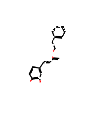 C=C(/C=C/c1ccc(O)c(O)c1)OCCc1ccccc1